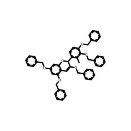 Cc1c(C2Oc3cc(OCc4ccccc4)cc(OCc4ccccc4)c3C=C2OCc2ccccc2)ccc(OCc2ccccc2)c1OCc1ccccc1